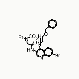 CCN(CC(=O)Nc1cnc2cc(Br)ccc2c1NCCOCc1ccccc1)C(=O)O